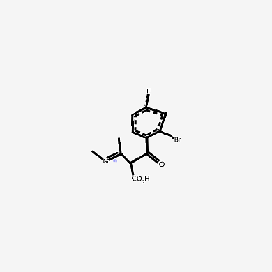 C/N=C(\C)C(C(=O)O)C(=O)c1ccc(F)cc1Br